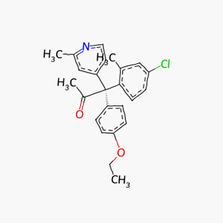 CCOc1ccc([C@](C(C)=O)(c2ccnc(C)c2)c2ccc(Cl)cc2C)cc1